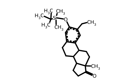 CCc1cc2c(cc1O[Si](C)(C)C(C)(C)C)CCC1C2CCC2(C)C(=O)CCC12